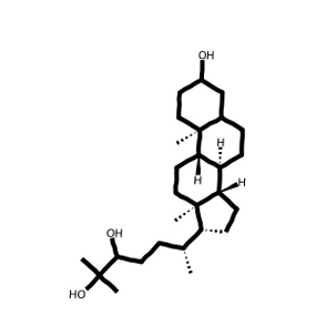 C[C@H](CCC(O)C(C)(C)O)[C@H]1CC[C@H]2[C@@H]3CCC4CC(O)CC[C@]4(C)[C@H]3CC[C@]12C